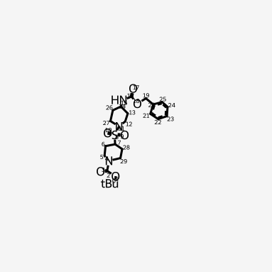 CC(C)(C)OC(=O)N1CCC(S(=O)(=O)N2CCC(NC(=O)OCc3ccccc3)CC2)CC1